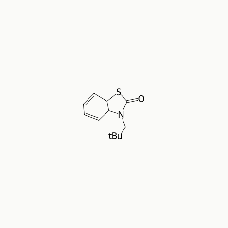 CC(C)(C)CN1C(=O)SC2C=CC=CC21